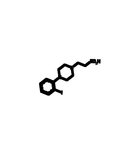 O=S(=O)(O)CCN1CCN(c2ccccc2I)CC1